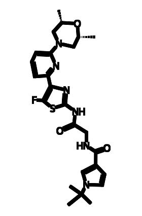 C[C@@H]1CN(c2cccc(-c3nc(NC(=O)CNC(=O)c4ccn(C(C)(C)C)c4)sc3F)n2)C[C@H](C)O1